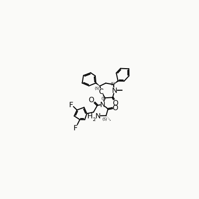 C[C@H](N)C(=O)N(C(=O)Cc1cc(F)cc(F)c1)[C@H]1C[C@@H](c2ccccc2)C[C@@H](c2ccccc2)N(C)C1=O